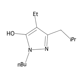 CCCCn1nc(CC(C)C)c(CC)c1O